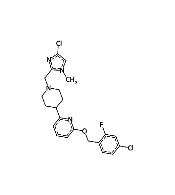 Cn1cc(Cl)nc1CN1CCC(c2cccc(OCc3ccc(Cl)cc3F)n2)CC1